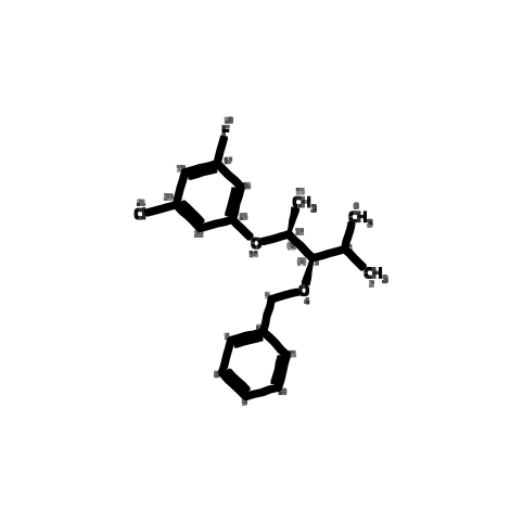 CC(C)[C@@H](OCc1ccccc1)[C@H](C)Oc1cc(F)cc(Cl)c1